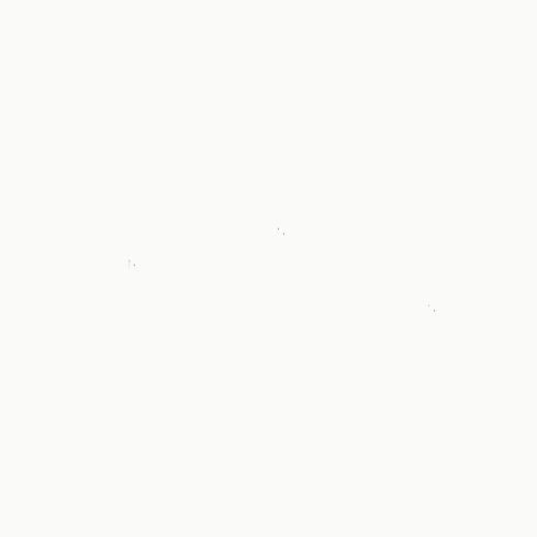 Nc1ccccc1OCCCN1CCC(OC(c2cccnc2)c2cccs2)CC1